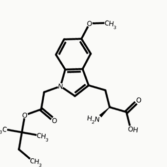 CCC(C)(C)OC(=O)Cn1cc(C[C@H](N)C(=O)O)c2cc(OC)ccc21